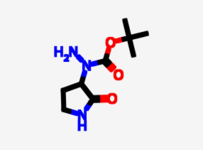 CC(C)(C)OC(=O)N(N)C1CCNC1=O